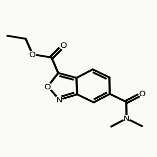 CCOC(=O)c1onc2cc(C(=O)N(C)C)ccc12